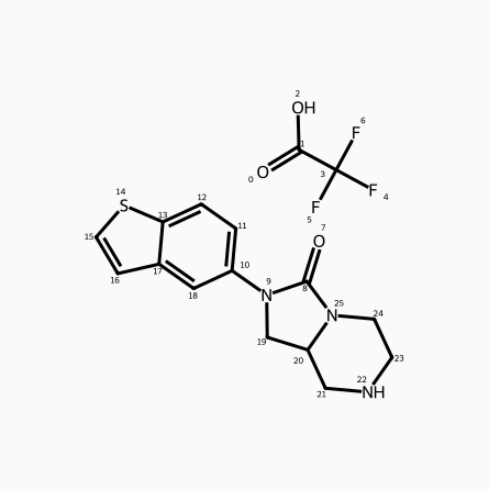 O=C(O)C(F)(F)F.O=C1N(c2ccc3sccc3c2)CC2CNCCN12